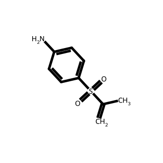 C=C(C)S(=O)(=O)c1ccc(N)cc1